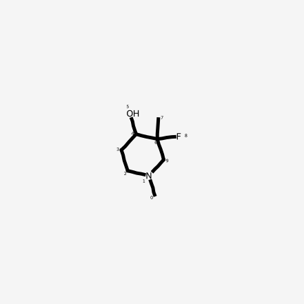 CN1CCC(O)C(C)(F)C1